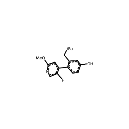 COc1cc(-c2ccc(O)cc2CC(C)(C)C)c(F)cn1